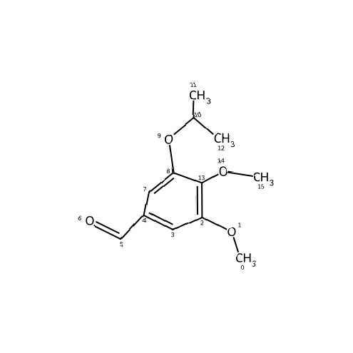 COc1cc(C=O)cc(OC(C)C)c1OC